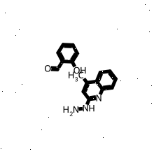 Cc1cc(NN)nc2ccccc12.O=Cc1ccccc1O